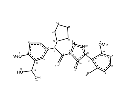 COc1ccc(N(C(=O)n2nnn(-c3c(F)cccc3OC)c2=O)C2CCCC2)cc1C(O)O